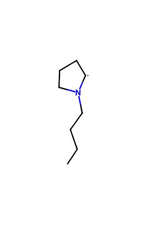 CCCCN1[CH]CCC1